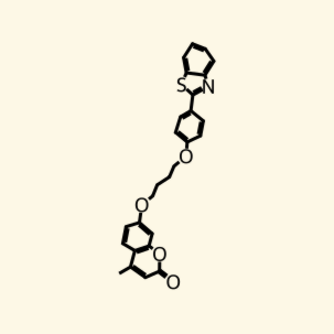 Cc1cc(=O)oc2cc(OCCCCOc3ccc(-c4nc5ccccc5s4)cc3)ccc12